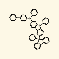 c1ccc(-c2ccc(N(c3ccccc3)c3ccc4c5cc(C6(c7ccccc7)c7ccccc7-c7ccccc76)ccc5n(-c5ccccc5)c4c3)cc2)cc1